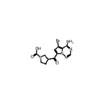 Nc1ncnn2c(C(=O)C3CCN(C(=O)O)C3)cc(Br)c12